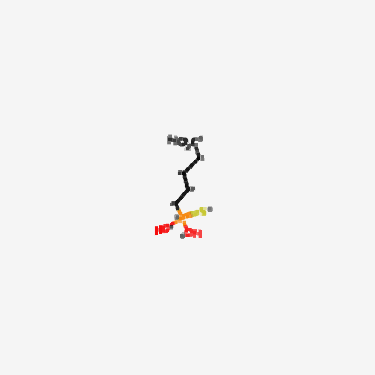 O=C(O)CCCCP(O)(O)=S